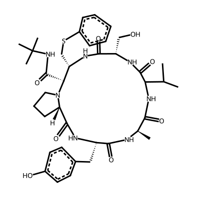 CC(C)C1NC(=O)[C@@H](C)NC(=O)[C@H](Cc2ccc(O)cc2)NC(=O)[C@@H]2CCCN2[C@H](C(=O)NC(C)(C)C)[C@H](CSc2ccccc2)NC(=O)[C@H](CO)NC1=O